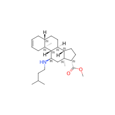 COC(=O)[C@H]1CC[C@H]2[C@@H]3CC[C@H]4CC=CC[C@]4(C)[C@H]3[C@H](NCCC(C)C)C[C@]12C